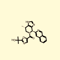 C[C@H]1CN(C(=O)c2cnc(C(C)(C)O)o2)[C@H](c2cc3ccccc3cn2)c2nc[nH]c21